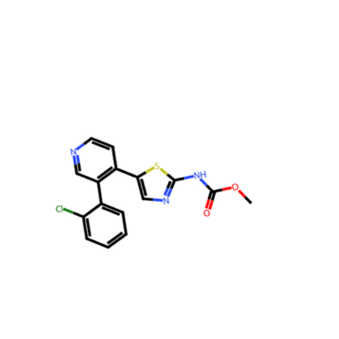 COC(=O)Nc1ncc(-c2ccncc2-c2ccccc2Cl)s1